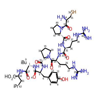 CC[C@H](C)[C@H](NC(=O)[C@H](Cc1ccc(O)cc1)NC(=O)[C@@H]1CCCN1C(=O)[C@H](CCCNC(=N)N)NC(=O)[C@H](CCCNC(=N)N)NC(=O)[C@@H]1CCCN1C(=O)[C@@H](N)CS)C(=O)N[C@@H](CC(C)C)C(=O)O